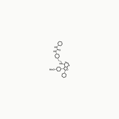 COc1ccc(-c2c(-c3ccccc3)oc3ncnc(NCCc4ccc(NC(=O)Nc5ccccc5)cc4)c23)cc1